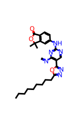 C=Nc1nc(Nc2ccc3c(c2)C(C)(C)OC3=O)ncc1-c1nnc(CCCCCCCCC)o1